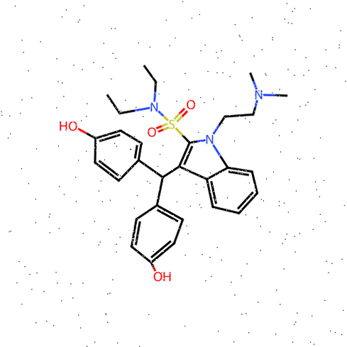 CCN(CC)S(=O)(=O)c1c(C(c2ccc(O)cc2)c2ccc(O)cc2)c2ccccc2n1CCN(C)C